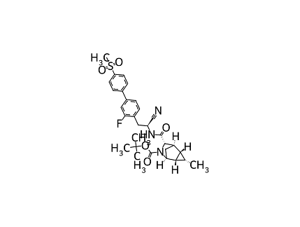 C[C@H]1[C@H]2[C@H]3C[C@@H]([C@@H]12)N(C(=O)OC(C)(C)C)[C@@H]3C(=O)N[C@H](C#N)Cc1ccc(-c2ccc(S(C)(=O)=O)cc2)cc1F